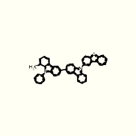 CC1CC=Cc2c1n(-c1ccccc1)c1ccc(-c3ccc4c(c3)c3ccccc3n4-c3ccc4sc5ccccc5c4c3)cc21